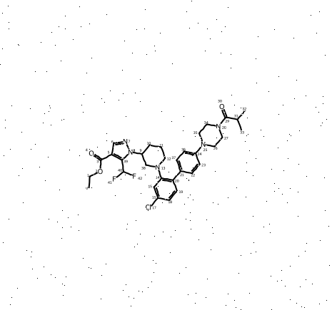 CCOC(=O)c1cnn(C2CCCN(c3cc(Cl)ccc3-c3ccc(N4CCN(C(=O)C(C)C)CC4)cc3)C2)c1C(F)F